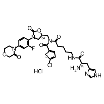 Cl.N[C@@H](Cc1c[nH]cn1)C(=O)NCCCCC(=O)N(C[C@H]1CN(c2ccc(N3CCOCC3=O)cc2F)C(=O)O1)C(=O)c1ccc(Cl)s1